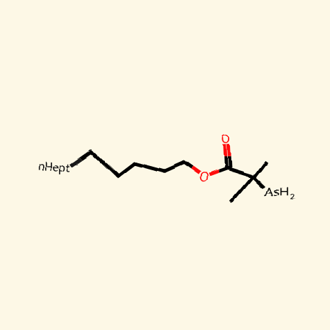 CCCCCCCCCCCCOC(=O)C(C)(C)[AsH2]